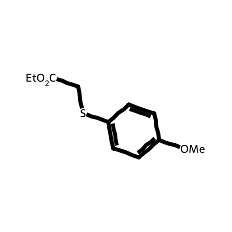 CCOC(=O)CSc1ccc(OC)cc1